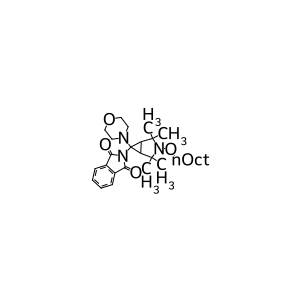 CCCCCCCCON1C(C)(C)C2C(C1(C)C)C2(N1CCOCC1)N1C(=O)c2ccccc2C1=O